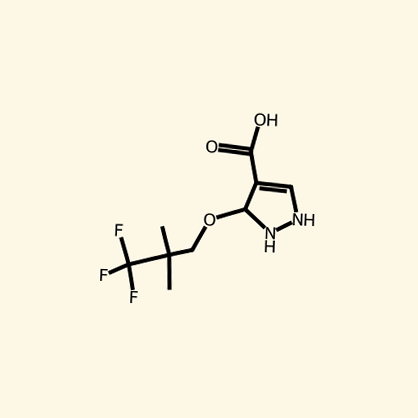 CC(C)(COC1NNC=C1C(=O)O)C(F)(F)F